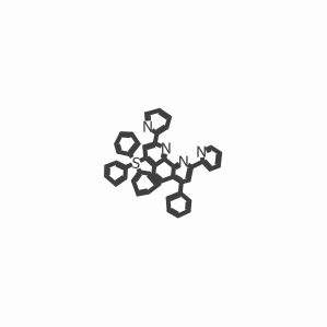 c1ccc(-c2cc(-c3ccccn3)nc3c2ccc2c(S(c4ccccc4)(c4ccccc4)c4ccccc4)cc(-c4ccccn4)nc23)cc1